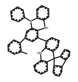 Cc1ccccc1-c1cc(-c2cccc3c2Nc2ccccc2C32c3ccccc3-c3ccccc32)c2c(c1)N(c1ccccc1)c1ccccc1B2